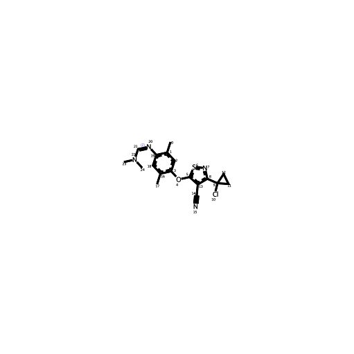 Cc1cc(Oc2snc(C3(Cl)CC3)c2C#N)c(C)cc1/N=C\N(C)C